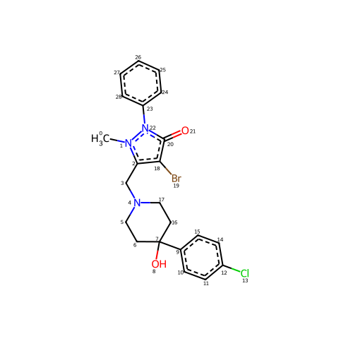 Cn1c(CN2CCC(O)(c3ccc(Cl)cc3)CC2)c(Br)c(=O)n1-c1ccccc1